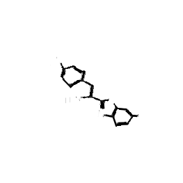 [CH2]c1ccc([CH]C(N)c2nc3ccc(F)cc3s2)cc1